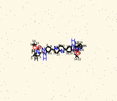 C[C@@H]1[C@@H]2C[C@@H](c3nc4ccc(-c5ccc6nc(-c7ccc8nc([C@@H]9C%10[C@@H]%11C(N9C(=O)OC(C)(C)C)[C@]%10%11C)[nH]c8c7)ccc6n5)cc4[nH]3)N(C(=O)OC(C)(C)C)[C@H]12